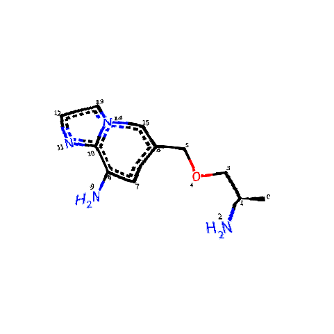 C[C@@H](N)COCc1cc(N)c2nccn2c1